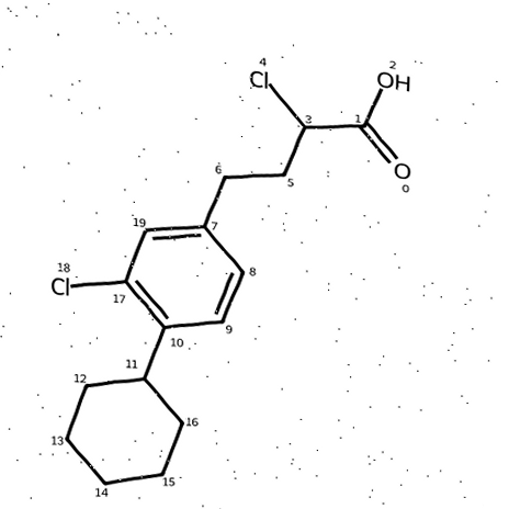 O=C(O)C(Cl)CCc1ccc(C2CCCCC2)c(Cl)c1